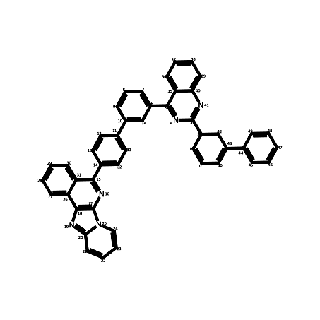 C1=CC(c2nc(-c3cccc(-c4ccc(-c5nc6c(nc7ccccn76)c6ccccc56)cc4)c3)c3ccccc3n2)CC(c2ccccc2)=C1